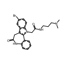 CN(C)CCCNC(=O)Cn1c2c(c3cc(Br)ccc31)CC(=O)Nc1ccccc1-2